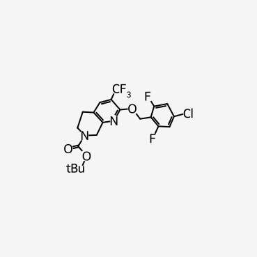 CC(C)(C)OC(=O)N1CCc2cc(C(F)(F)F)c(OCc3c(F)cc(Cl)cc3F)nc2C1